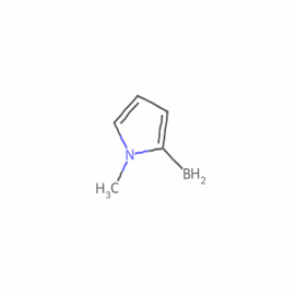 Bc1cccn1C